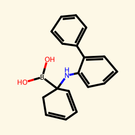 OB(O)C1(Nc2ccccc2-c2ccccc2)C=CC=CC1